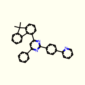 CC1(C)c2ccccc2-c2c(-c3cc(-c4ccccc4)nc(-c4ccc(-c5ccccn5)cc4)n3)cccc21